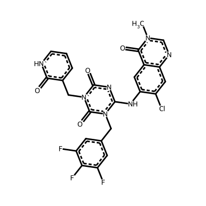 Cn1cnc2cc(Cl)c(Nc3nc(=O)n(Cc4ccc[nH]c4=O)c(=O)n3Cc3cc(F)c(F)c(F)c3)cc2c1=O